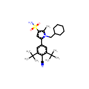 Cc1c(S(N)(=O)=O)cc(-c2cc(C(C)(C)C)c(C#N)c(C(C)(C)C)c2)n1CC1CCCCC1